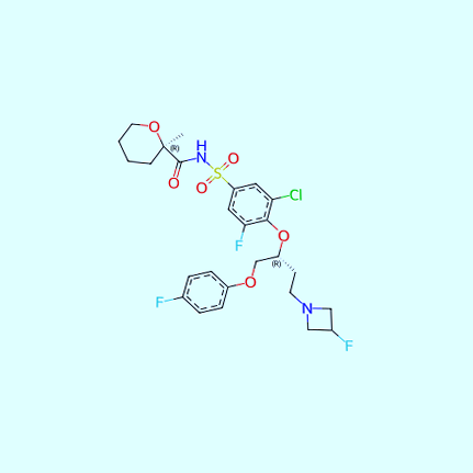 C[C@]1(C(=O)NS(=O)(=O)c2cc(F)c(O[C@H](CCN3CC(F)C3)COc3ccc(F)cc3)c(Cl)c2)CCCCO1